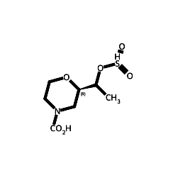 CC(O[SH](=O)=O)[C@H]1CN(C(=O)O)CCO1